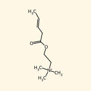 CC=CCC(=O)OCC[N+](C)(C)C